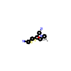 C[C@]12C=CC=CC1N(C1=C[C@@H](C#N)CC=C1C1=Cc3c(sc4c3ccc3c5cc(C#N)ccc5sc34)CC1)C1=C2C=CCC1